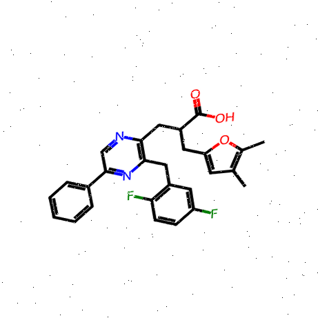 Cc1cc(CC(Cc2ncc(-c3ccccc3)nc2Cc2cc(F)ccc2F)C(=O)O)oc1C